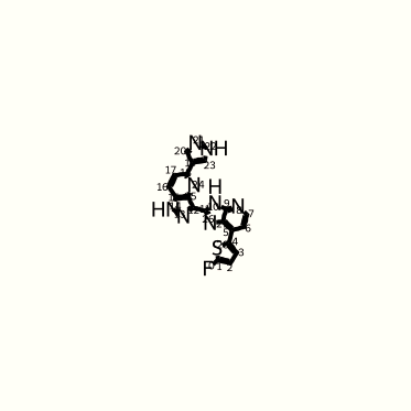 Fc1ccc(-c2ccnc3[nH]c(-c4n[nH]c5ccc(-c6cn[nH]c6)nc45)nc23)s1